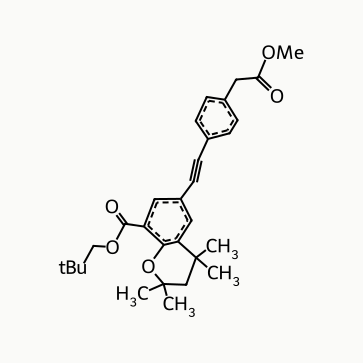 COC(=O)Cc1ccc(C#Cc2cc(C(=O)OCC(C)(C)C)c3c(c2)C(C)(C)CC(C)(C)O3)cc1